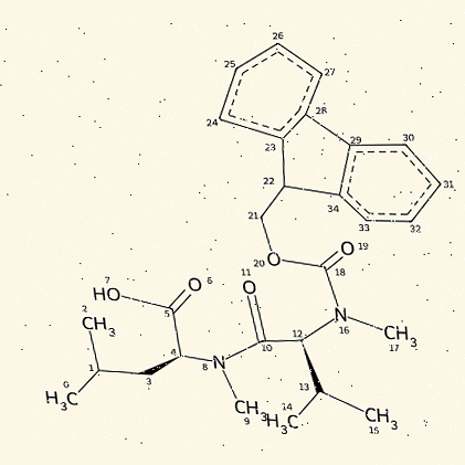 CC(C)C[C@@H](C(=O)O)N(C)C(=O)[C@H](C(C)C)N(C)C(=O)OCC1c2ccccc2-c2ccccc21